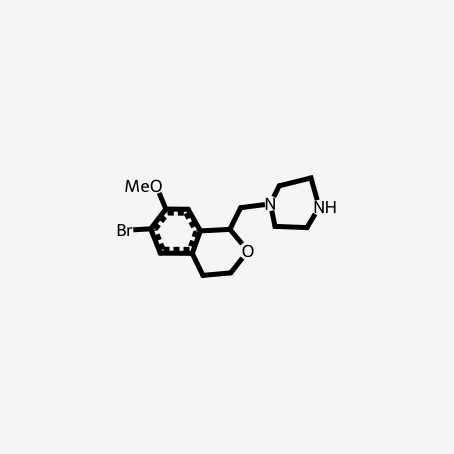 COc1cc2c(cc1Br)CCOC2CN1CCNCC1